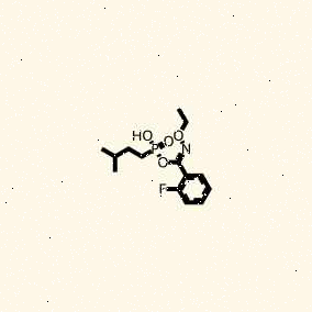 CCON=C(OP(=O)(O)CCC(C)C)c1ccccc1F